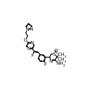 CC1(C)C(N)=NC(c2cc(/C=C(\F)c3cnc(OCCn4cccn4)cn3)ccc2F)C[S+]1[O-]